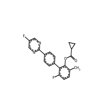 Cc1ccc(F)c(-c2ccc(-c3ncc(F)cn3)cc2)c1OC(=O)C1CC1